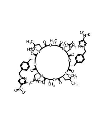 CC(C)C[C@H]1C(=O)O[C@H](Cc2ccc(Cn3cc([N+](=O)[O-])cn3)cc2)C(=O)N(C)[C@@H](CC(C)C)C(=O)O[C@H](C)C(=O)N(C)[C@@H](CC(C)C)C(=O)O[C@H](Cc2ccc(Cn3cc([N+](=O)[O-])cn3)cc2)C(=O)N(C)[C@@H](CC(C)C)C(=O)O[C@H](C)C(=O)N1C